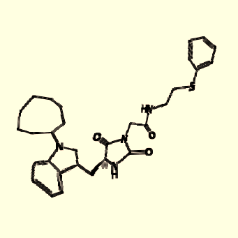 O=C(CN1C(=O)N[C@@H](CC2CN(C3CCCCCCC3)c3ccccc32)C1=O)NCCSc1ccccc1